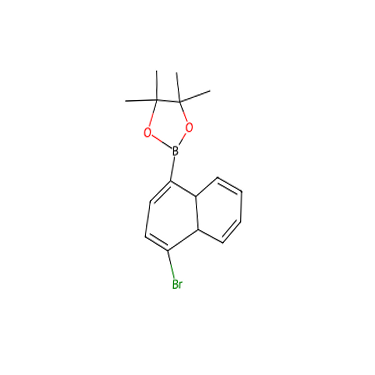 CC1(C)OB(C2=CC=C(Br)C3C=CC=CC23)OC1(C)C